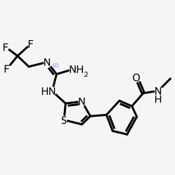 CNC(=O)c1cccc(-c2csc(N/C(N)=N\CC(F)(F)F)n2)c1